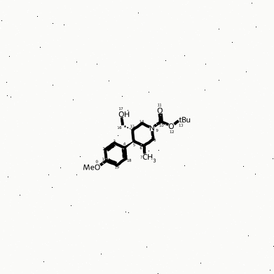 COc1ccc([C@@H]2C(C)CN(C(=O)OC(C)(C)C)C[C@H]2CO)cc1